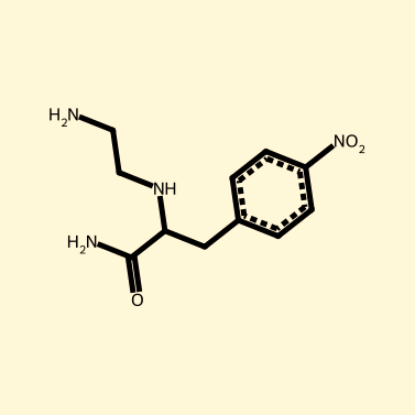 NCCNC(Cc1ccc([N+](=O)[O-])cc1)C(N)=O